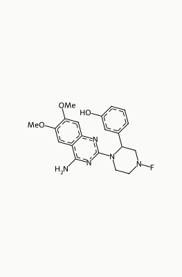 COc1cc2nc(N3CCN(F)CC3c3cccc(O)c3)nc(N)c2cc1OC